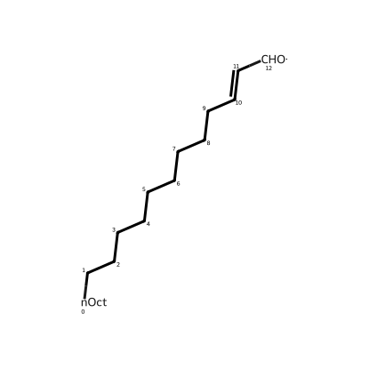 CCCCCCCCCCCCCCCCCC=C[C]=O